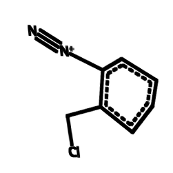 N#[N+]c1ccccc1CCl